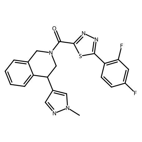 Cn1cc(C2CN(C(=O)c3nnc(-c4ccc(F)cc4F)s3)Cc3ccccc32)cn1